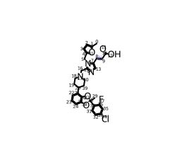 Cc1ccc(Cn2c(/C=C/C(=O)O)cnc2CN2CCC(c3cccc4c3OC(C)(c3ccc(Cl)cc3F)O4)CC2)o1